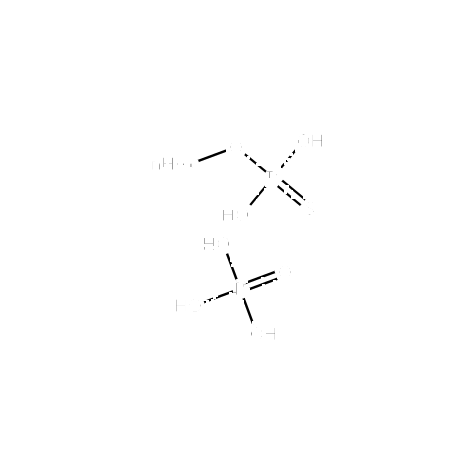 CCCCCCOP(O)(O)=S.O=P(O)(O)O